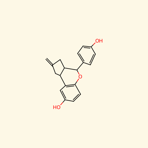 C=C1CC2c3cc(O)ccc3OC(c3ccc(O)cc3)C2C1